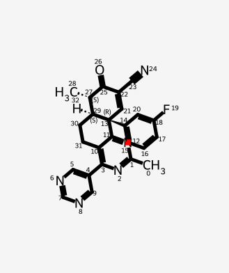 Cc1nc(-c2cncnc2)c2c(n1)[C@@]1(c3cccc(F)c3)C=C(C#N)C(=O)[C@@H](C)[C@@H]1CC2